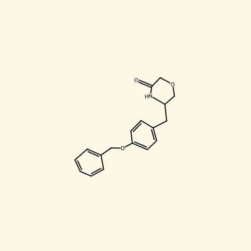 O=C1COCC(Cc2ccc(OCc3ccccc3)cc2)N1